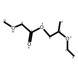 CCOC(C)COC(=O)COC